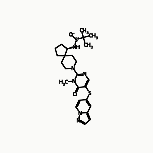 Cn1c(N2CCC3(CCC[C@H]3N[S+]([O-])C(C)(C)C)CC2)ncc(Sc2ccn3nccc3c2)c1=O